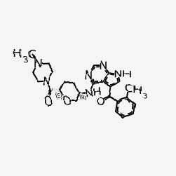 Cc1ccccc1C(=O)c1c[nH]c2ncnc(N[C@@H]3CC[C@@H](C(=O)N4CCN(C)CC4)OC3)c12